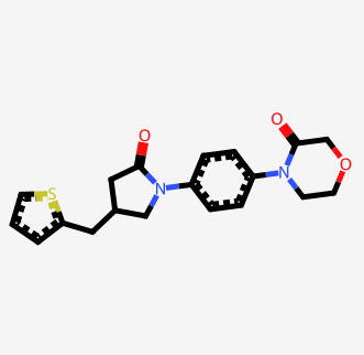 O=C1COCCN1c1ccc(N2CC(Cc3cccs3)CC2=O)cc1